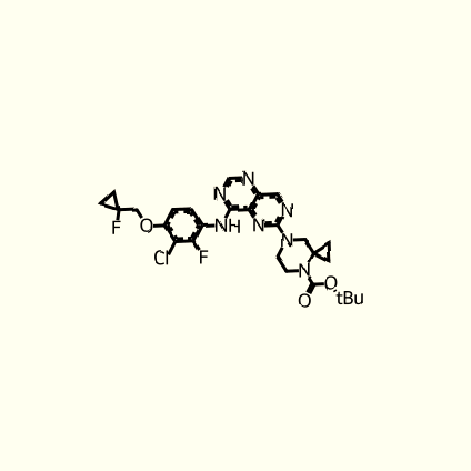 CC(C)(C)OC(=O)N1CCN(c2ncc3ncnc(Nc4ccc(OCC5(F)CC5)c(Cl)c4F)c3n2)CC12CC2